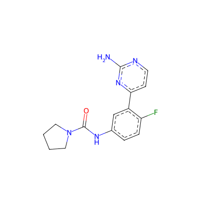 Nc1nccc(-c2cc(NC(=O)N3CCCC3)ccc2F)n1